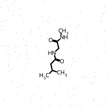 CNC(=O)CNC(=O)CC(C)C